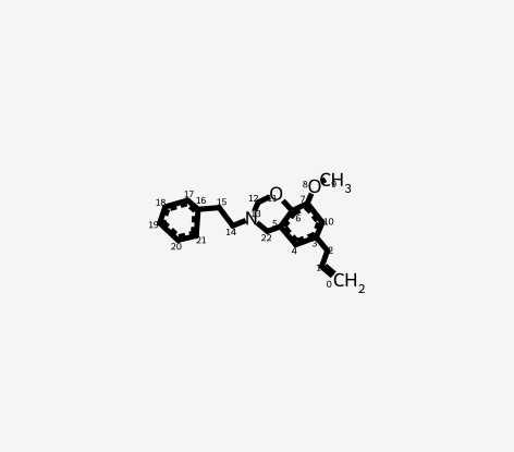 C=CCc1cc2c(c(OC)c1)OCN(CCc1ccccc1)C2